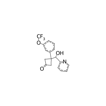 O=C1CC(c2cccc(OC(F)(F)F)c2)(C(O)c2ccccn2)C1